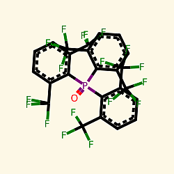 O=P(c1c(C(F)(F)F)cccc1C(F)(F)F)(c1c(C(F)(F)F)cccc1C(F)(F)F)c1c(C(F)(F)F)cccc1C(F)(F)F